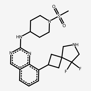 CS(=O)(=O)N1CCC(Nc2ncc3cccc(C4CC5(CNCC5(F)F)C4)c3n2)CC1